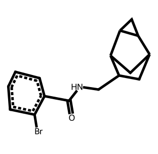 O=C(NCC1CC2CC1C1CC21)c1ccccc1Br